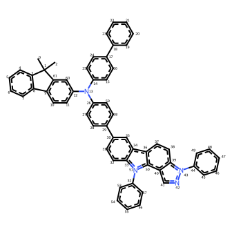 CC1(C)c2ccccc2-c2ccc(N(c3ccc(-c4ccccc4)cc3)c3ccc(-c4ccc5c(c4)c4ccc6c(cnn6-c6ccccc6)c4n5-c4ccccc4)cc3)cc21